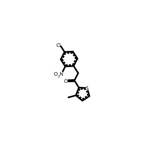 Cc1ccsc1C(=O)Cc1ccc(Cl)cc1[N+](=O)[O-]